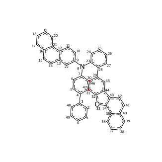 c1ccc(-c2ccc(N(c3ccc4c(ccc5ccccc54)c3)c3ccccc3-c3ccc4oc5c6ccccc6ccc5c4c3)cc2)cc1